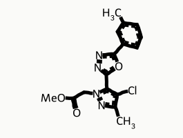 COC(=O)Cn1nc(C)c(Cl)c1-c1nnc(-c2cccc(C)c2)o1